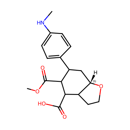 CNc1ccc(C2C[C@@H]3OCCC3C(C(=O)O)C2C(=O)OC)cc1